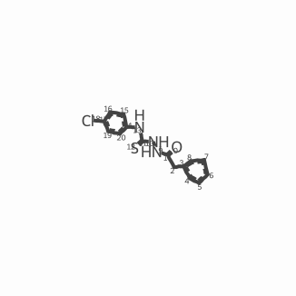 O=C(Cc1ccccc1)NNC(=S)Nc1ccc(Cl)cc1